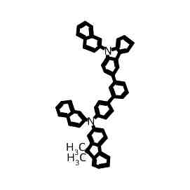 CC1(C)c2ccccc2-c2ccc(N(c3ccc(-c4cccc(-c5ccc6c(c5)c5ccccc5n6-c5ccc6ccccc6c5)c4)cc3)c3ccc4ccccc4c3)cc21